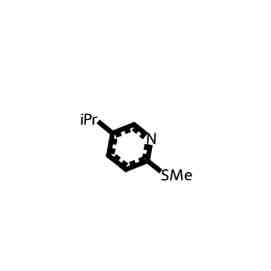 CSc1ccc(C(C)C)cn1